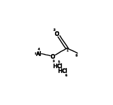 CC(=O)[O][Al].Cl.Cl